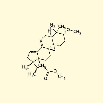 COC(=O)C[C@@H](C)[C@]1(C)CC=C2C3=CC[C@H]4C(C)(C)[C@H](OC)CC[C@@]45C[C@@]35CC[C@@]21C